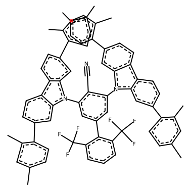 Cc1ccc(-c2ccc3c4ccc(-c5ccc(C)cc5C)cc4n(-c4cc(-c5c(C(F)(F)F)cccc5C(F)(F)F)cc(-n5c6cc(-c7ccc(C)cc7C)ccc6c6ccc(-c7ccc(C)cc7C)cc65)c4C#N)c3c2)c(C)c1